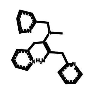 CN(Cc1ccccn1)/C(Cc1ccccn1)=C(/N)Cc1ccccn1